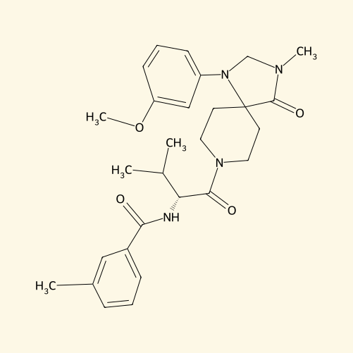 COc1cccc(N2CN(C)C(=O)C23CCN(C(=O)[C@H](NC(=O)c2cccc(C)c2)C(C)C)CC3)c1